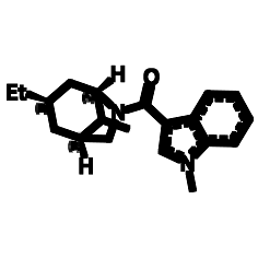 CC[C@@H]1C[C@H]2CN(C(=O)c3cn(C)c4ccccc34)[C@@H](C1)C2C